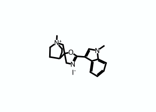 Cn1cc(C2=NCC3(C[N+]4(C)CCC3CC4)O2)c2ccccc21.[I-]